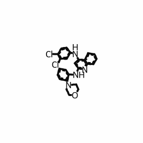 Clc1ccc(Nc2cc(Nc3ccccc3N3CCOCC3)nc3ccccc23)cc1Cl